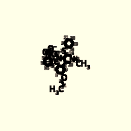 CCCOc1cccc(-c2c[n+](CC)cc(Sc3ccccc3)c2N(C)C)c1.O=S(=O)([O-])c1ccccc1